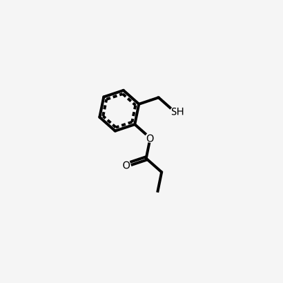 CCC(=O)Oc1ccccc1CS